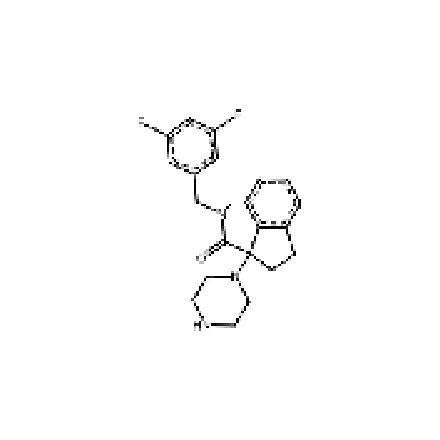 CN(Cc1cc(F)cc(F)c1)C(=O)C1(N2CCNCC2)CCc2ccccc21